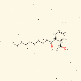 CCCCCCCCCC(=O)c1ccccc1C(C)=O